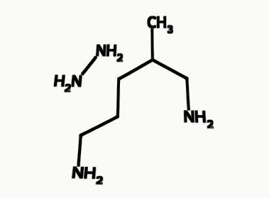 CC(CN)CCCN.NN